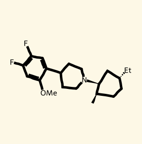 CC[C@@H]1CC[C@@H](C)[C@@H](N2CCC(c3cc(F)c(F)cc3OC)CC2)C1